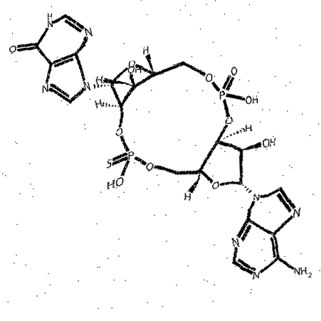 Nc1ncnc2c1ncn2[C@@H]1O[C@@H]2COP(O)(=S)O[C@@H]3[C@H](O)[C@@H](COP(=O)(O)O[C@H]2[C@H]1O)O[C@H]3n1cnc2c(=O)[nH]cnc21